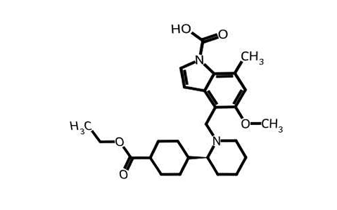 CCOC(=O)C1CCC([C@@H]2CCCCN2Cc2c(OC)cc(C)c3c2ccn3C(=O)O)CC1